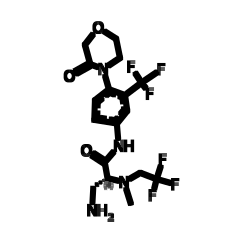 CN(CC(F)(F)F)[C@H](CN)C(=O)Nc1ccc(N2CCOCC2=O)c(C(F)(F)F)c1